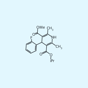 COC(=O)C1=C(C)NC(C)=C(C(=O)OC(C)C)C1c1ccccc1F